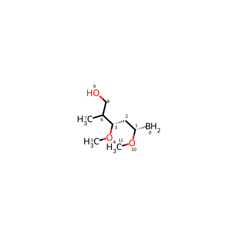 B[C@@H](C[C@H](OC)C(C)CO)OC